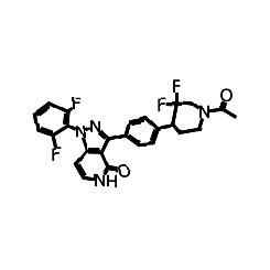 CC(=O)N1CCC(c2ccc(-c3nn(-c4c(F)cccc4F)c4cc[nH]c(=O)c34)cc2)C(F)(F)C1